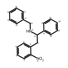 O=[N+]([O-])c1ccccc1CC(NCc1ccccc1)c1ccccc1